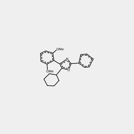 COc1cccc(OC)c1-c1nc(-c2ccccc2)oc1C1CCCCC1